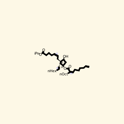 C=CCCCC/C=C(/CCCCCCCC)C(=O)O[C@@H]1C[C@H](O)[C@H](C/C=C\CCCC(=O)OC(C)C)[C@H]1/C=C/CCCCCC